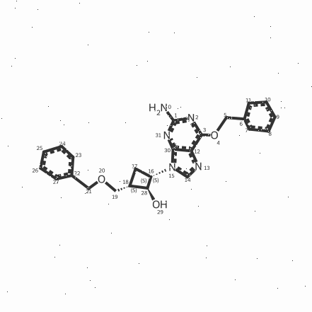 Nc1nc(OCc2ccccc2)c2ncn([C@H]3C[C@@H](COCc4ccccc4)[C@@H]3O)c2n1